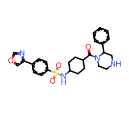 O=C(C1CCC(NS(=O)(=O)c2ccc(-c3cocn3)cc2)CC1)N1CCNCC1c1ccccc1